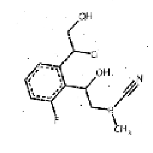 CB(C#N)CC(O)c1c(F)cccc1C(Cl)CO